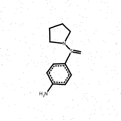 C=S(c1ccc(N)cc1)N1CCCC1